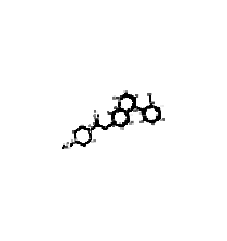 CC(=O)N1CCN(C(=O)Cc2ccc3c(-c4ccccc4C)ccnc3c2)CC1